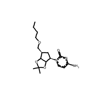 CCCCOC[C@H]1C[C@@H](n2ccc(N)nc2=O)C2OC(C)(C)OC21